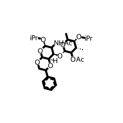 CC(=O)NC1[C@H](OC(C)C)OC2OCC(c3ccccc3)O[C@@H]2[C@@H]1O[C@@H]1OC(C)[C@@H](OC(C)C)[C@H](C)C1OC(C)=O